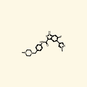 CN1CCN(Cc2ccc(NC(=O)c3n[nH]c4cc(F)c(-c5cnn(C)c5)cc34)cc2)CC1